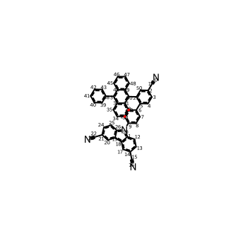 N#Cc1ccc(-c2ccc(-n3c4ccc(C#N)cc4c4cc(C#N)ccc43)cc2)c(-c2c3ccccc3c(-c3ccccc3)c3ccccc23)c1